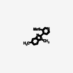 CSc1cnccc1-c1nc2cc(C)ccc2n1C